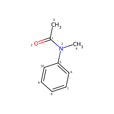 CC(=O)N(C)c1ccccc1